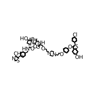 Cc1ncsc1-c1ccc(CNC(=O)[C@@H]2C[C@@H](O)CN2C(=O)C(NC(=O)COCCN2CCN(CCOc3ccc(Oc4c(-c5ccc(Cl)cc5)sc5cc(O)ccc45)cc3)CC2)C(C)(C)C)cc1